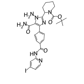 CC(C)(C)OC(=O)N1CCCCC1c1nc(-c2ccc(C(=O)Nc3cc(I)ccn3)cc2)c(C(N)=O)n1N